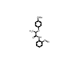 CCOc1ccccc1NC(=O)C(C)Oc1ccc(OC)cc1